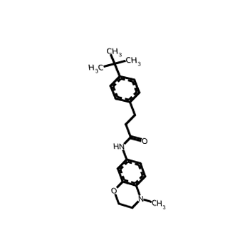 CN1CCOc2cc(NC(=O)CCc3ccc(C(C)(C)C)cc3)ccc21